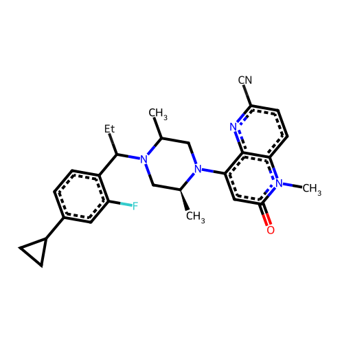 CCC(c1ccc(C2CC2)cc1F)N1C[C@H](C)N(c2cc(=O)n(C)c3ccc(C#N)nc23)CC1C